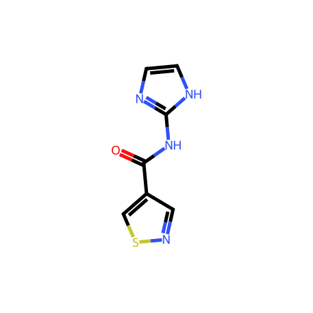 O=C(Nc1ncc[nH]1)c1cnsc1